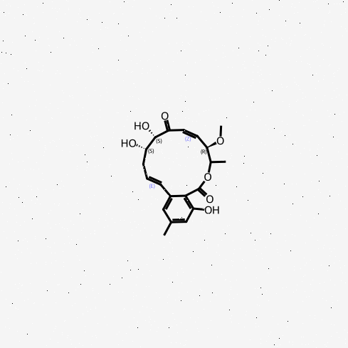 CO[C@@H]1/C=C\C(=O)[C@@H](O)[C@@H](O)C/C=C/c2cc(C)cc(O)c2C(=O)OC1C